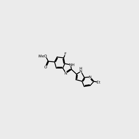 CCc1ccc2cc(-c3nc4cc(C(=O)OC)cc(F)c4[nH]3)[nH]c2n1